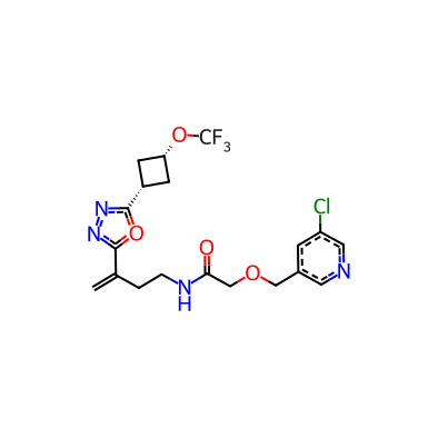 C=C(CCNC(=O)COCc1cncc(Cl)c1)c1nnc([C@H]2C[C@@H](OC(F)(F)F)C2)o1